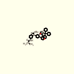 CCCCc1nc2ccc(NC(=O)N(C)C)cc2n1-c1ccc(-c2ccccc2-c2nnnn2C(c2ccccc2)(c2ccccc2)c2ccccc2)c(C)c1